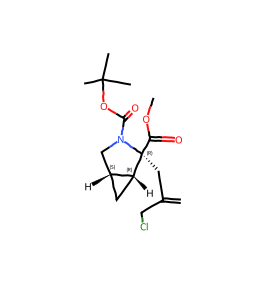 C=C(CCl)C[C@]1(C(=O)OC)[C@@H]2C[C@@H]2CN1C(=O)OC(C)(C)C